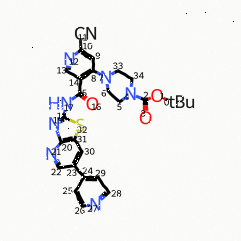 CC(C)(C)OC(=O)N1CCN(c2cc(C#N)ncc2C(=O)Nc2nc3ncc(-c4ccncc4)cc3s2)CC1